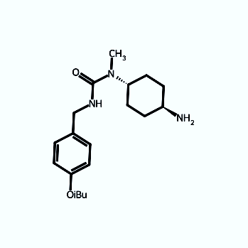 CC(C)COc1ccc(CNC(=O)N(C)[C@H]2CC[C@H](N)CC2)cc1